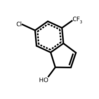 OC1C=Cc2c1cc(Cl)cc2C(F)(F)F